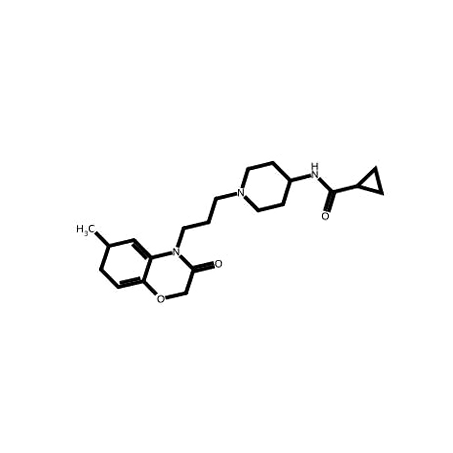 CC1C=C2C(=CC1)OCC(=O)N2CCCN1CCC(NC(=O)C2CC2)CC1